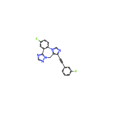 Fc1cccc(C#Cc2ncn3c2Cn2ncnc2-c2cc(F)ccc2-3)c1